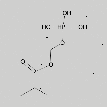 CC(C)C(=O)OCO[PH](O)(O)O